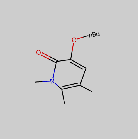 CCCCOc1cc(C)c(C)n(C)c1=O